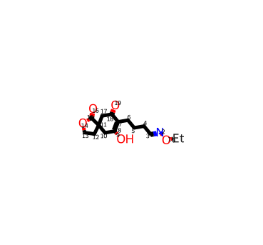 CCON=CCCCC1=C(O)CC2(CCOC2=O)CC1=O